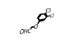 O=CCOc1ccc(Cl)c(Cl)c1